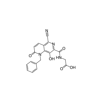 N#Cc1nc(C(=O)NCC(=O)O)c(O)c2c1ccc(=O)n2Cc1ccccc1